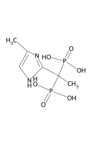 Cc1c[nH]c(C(C)(P(=O)(O)O)P(=O)(O)O)n1